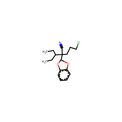 CCC(CC)C(C#N)(CCCCl)C1Oc2ccccc2O1